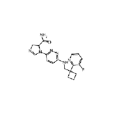 NC(=O)C1CN=CN1c1ccc(NCC2(c3ncccc3F)CCC2)nn1